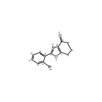 O=C1CCCc2oc(-c3ccccc3Br)nc21